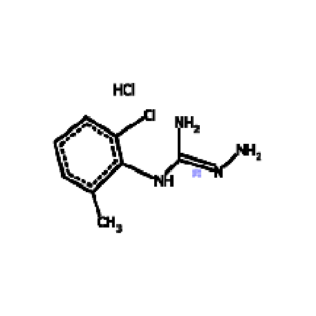 Cc1cccc(Cl)c1N/C(N)=N/N.Cl